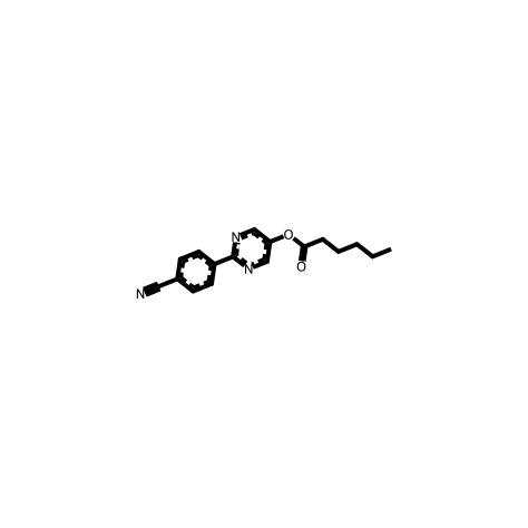 CCCCCC(=O)Oc1cnc(-c2ccc(C#N)cc2)nc1